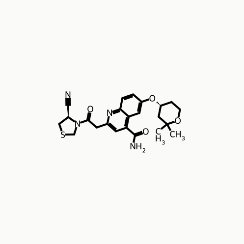 CC1(C)C[C@H](Oc2ccc3nc(CC(=O)N4CSC[C@H]4C#N)cc(C(N)=O)c3c2)CCO1